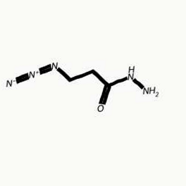 [N-]=[N+]=NCCC(=O)NN